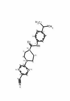 CC(C)c1ccc(NC(=O)N2CCN(c3cnc(C#N)cn3)CC2)cc1